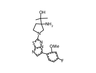 COc1cc(F)ccc1-c1cnc2sc(N3CCC(N)(C(C)(C)O)C3)nn12